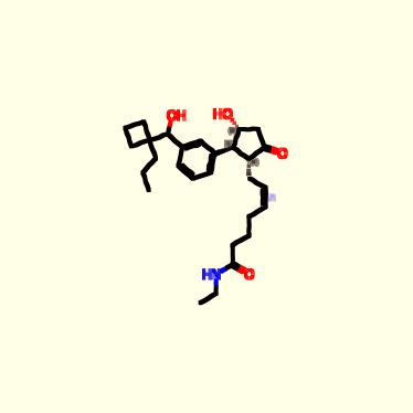 CCCC1(C(O)c2cccc([C@H]3[C@H](O)CC(=O)[C@@H]3C/C=C\CCCC(=O)NCC)c2)CCC1